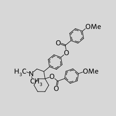 COc1ccc(C(=O)Oc2ccc(C(CN(C)C)C3(OC(=O)c4ccc(OC)cc4)CCCCC3)cc2)cc1